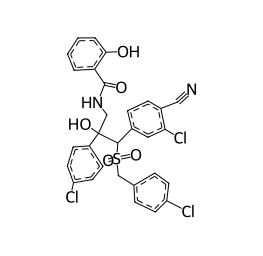 N#Cc1ccc(C(C(O)(CNC(=O)c2ccccc2O)c2ccc(Cl)cc2)S(=O)(=O)Cc2ccc(Cl)cc2)cc1Cl